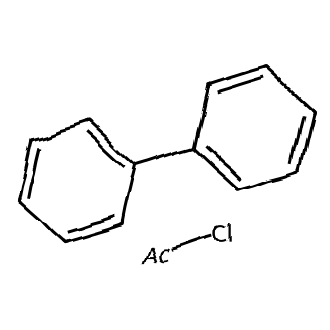 CC(=O)Cl.c1ccc(-c2ccccc2)cc1